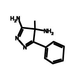 CC1(N)C(N)=NN=C1c1ccccc1